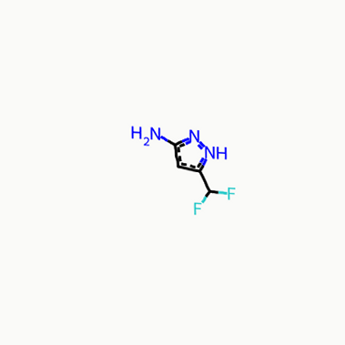 Nc1cc(C(F)F)[nH]n1